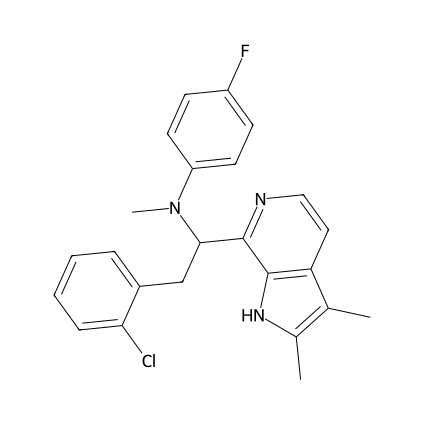 Cc1[nH]c2c(C(Cc3ccccc3Cl)N(C)c3ccc(F)cc3)nccc2c1C